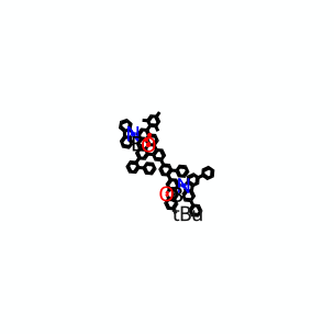 Cc1cc(C)c(-c2cc3c4c(c2)-n2c5ccccc5c5cccc(c52)B4c2cc(-c4ccccc4-c4ccccc4)cc(-c4cc(-c5ccc(-c6cc7c8c(c6)-n6c9ccc(-c%10ccccc%10)cc9c9cc(-c%10ccccc%10)cc(c96)B8c6cc(C(C)(C)C)ccc6O7)c(-c6ccccc6)c5)ccc4-c4ccccc4)c2O3)c(C)c1